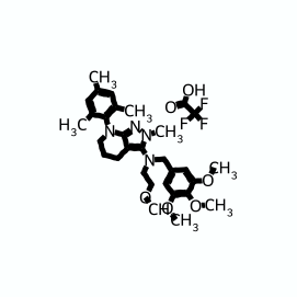 COCCN(Cc1cc(OC)c(OC)c(OC)c1)c1c2c(nn1C)N(c1c(C)cc(C)cc1C)CCC2.O=C(O)C(F)(F)F